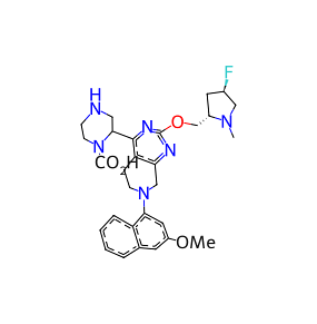 COc1cc(N2CCc3c(nc(OC[C@@H]4C[C@@H](F)CN4C)nc3C3CNCCN3C(=O)O)C2)c2ccccc2c1